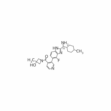 CC1CCC([C@H](N)c2nc3c(F)c(-c4cnccc4C(=O)N4CC(C)(O)C4)ccc3[nH]2)CC1